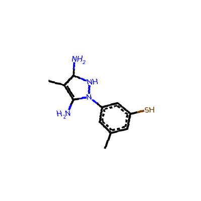 CC1=C(N)N(c2cc(C)cc(S)c2)NC1N